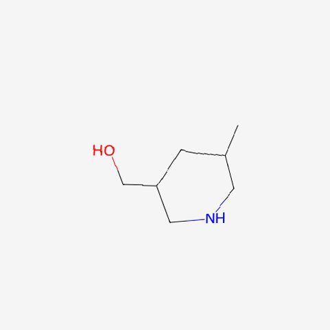 CC1CNCC(CO)C1